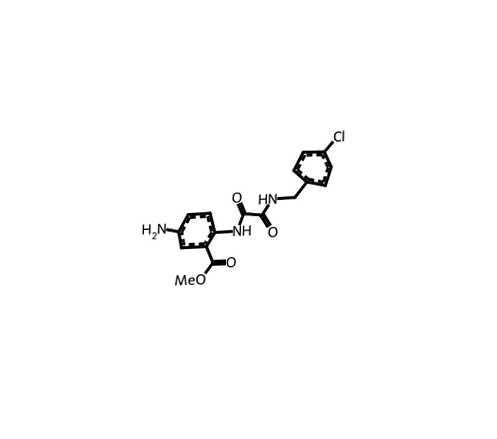 COC(=O)c1cc(N)ccc1NC(=O)C(=O)NCc1ccc(Cl)cc1